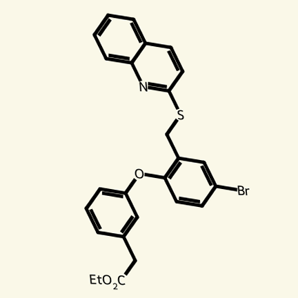 CCOC(=O)Cc1cccc(Oc2ccc(Br)cc2CSc2ccc3ccccc3n2)c1